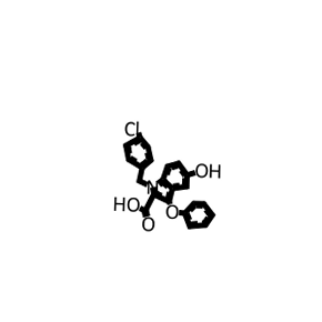 O=C(O)c1c(Oc2ccccc2)c2cc(O)ccc2n1Cc1ccc(Cl)cc1